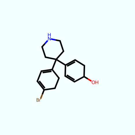 OC1C=CC(C2(C3=CC=C(Br)CC3)CCNCC2)=CC1